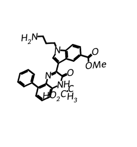 CC(=O)O.COC(=O)c1ccc2c(c1)c(-c1nc3c(-c4ccccc4)cccc3[nH]c1=O)cn2CCCN